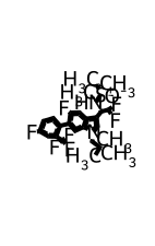 CC(C)(C)Cn1cc(C(N[S@@+]([O-])C(C)(C)C)C(F)F)c2cc(F)c(-c3ccc(F)cc3C(F)(F)F)cc21